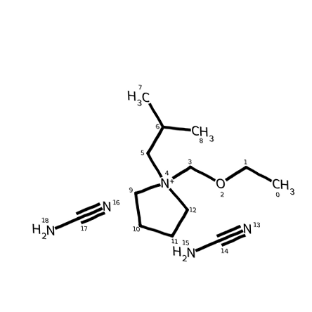 CCOC[N+]1(CC(C)C)CCCC1.N#CN.N#CN